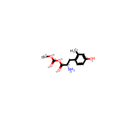 Cc1cc(O)ccc1C[C@H](N)C(=O)OC(=O)OC(C)(C)C